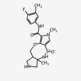 Cc1cc(NC(=O)c2c3c(cn2C)[S+]([O-])NC2(C)CNCC2CO3)ccc1F